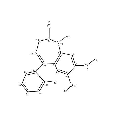 COc1cc2c(cc1OC)N(C)C(=O)CN=C2c1ccccc1C